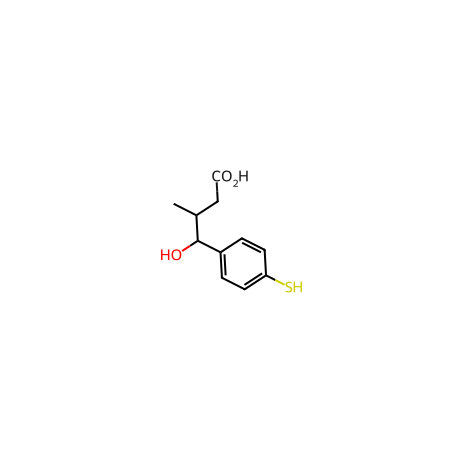 CC(CC(=O)O)C(O)c1ccc(S)cc1